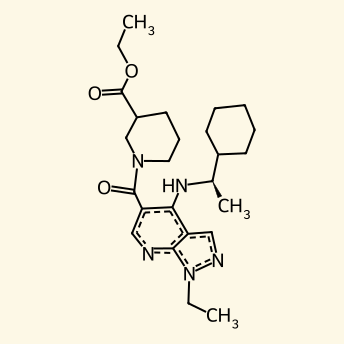 CCOC(=O)C1CCCN(C(=O)c2cnc3c(cnn3CC)c2N[C@H](C)C2CCCCC2)C1